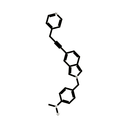 C[S+]([O-])c1ccc(Cn2cc3ccc(C#CCc4ccncc4)cc3c2)cc1